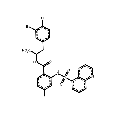 O=C(NC(Cc1ccc(Cl)c(Br)c1)C(=O)O)c1ccc(Cl)cc1NS(=O)(=O)c1cccc2nccnc12